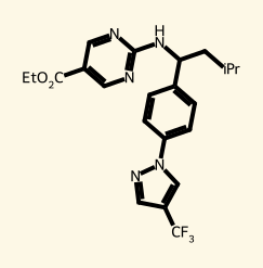 CCOC(=O)c1cnc(NC(CC(C)C)c2ccc(-n3cc(C(F)(F)F)cn3)cc2)nc1